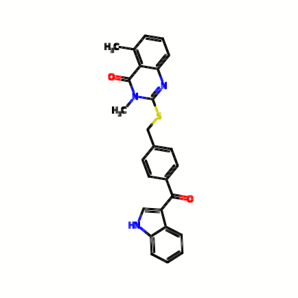 Cc1cccc2nc(SCc3ccc(C(=O)c4c[nH]c5ccccc45)cc3)n(C)c(=O)c12